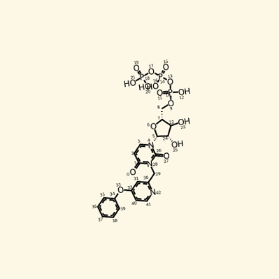 O=c1ccn([C@@H]2O[C@H](COP(=O)(O)OP(=O)(O)OP(=O)(O)O)C(O)[C@@H]2O)c(=O)n1Cc1cc(Oc2ccccc2)ccn1